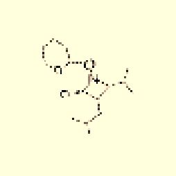 CC(C)CC1C(=O)N(OC2CCCCO2)C1C(C)C